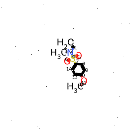 C=CN(C)S(=O)(=O)c1ccc(OC)cc1